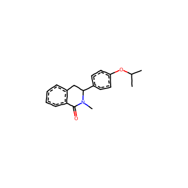 CC(C)Oc1ccc(C2Cc3ccccc3C(=O)N2C)cc1